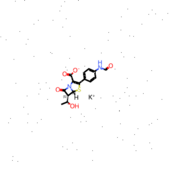 CC(O)[C@H]1C(=O)N2C(C(=O)[O-])=C(c3ccc(NC=O)cc3)S[C@H]12.[K+]